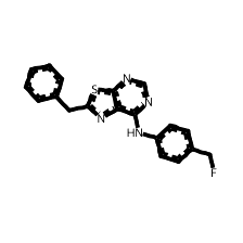 FCc1ccc(Nc2ncnc3sc(Cc4ccccc4)nc23)cc1